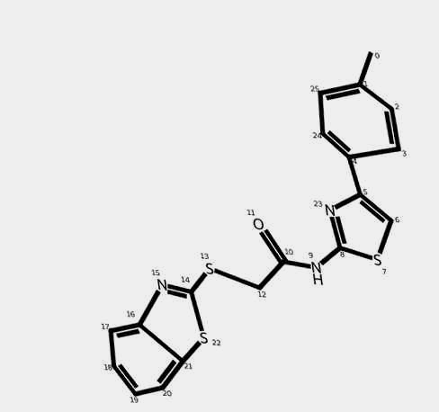 Cc1ccc(-c2csc(NC(=O)CSc3nc4ccccc4s3)n2)cc1